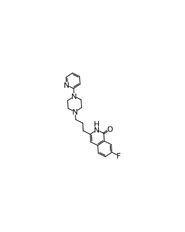 O=c1[nH]c(CCCN2CCN(c3ccccn3)CC2)cc2ccc(F)cc12